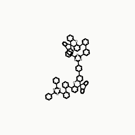 c1ccc(-c2nc(-c3ccc(-c4ccc5c(c4)Oc4c(-c6ccccc6-c6ccccc6-c6nc(-c7ccccc7)nc(-c7ccccc7)n6)cccc4C54c5ccccc5-c5ccccc54)cc3)nc(-c3cccc(-c4ccccc4-c4cccc5c4Oc4ccccc4C54c5ccccc5-c5ccccc54)c3)n2)cc1